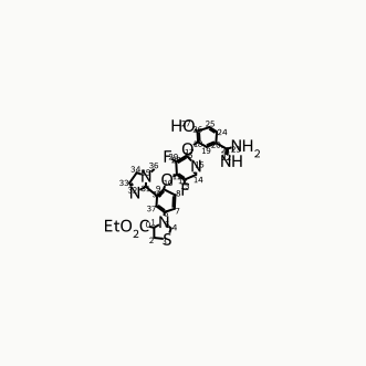 CCOC(=O)C1CSCN1c1ccc(Oc2c(F)cnc(Oc3cc(C(=N)N)ccc3O)c2F)c(C2N=CCN2C)c1